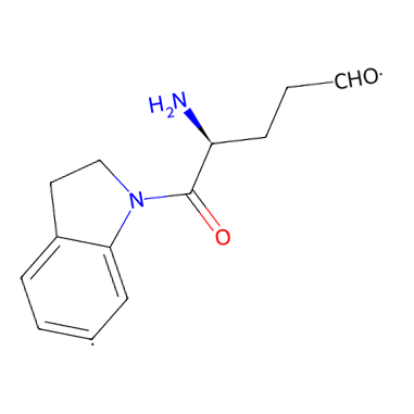 N[C@@H](CC[C]=O)C(=O)N1CCc2cc[c]cc21